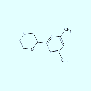 Cc1cc(C)nc(C2COCCO2)c1